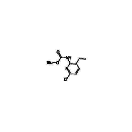 C=Cc1ccc(Cl)nc1NC(=O)OC(C)(C)C